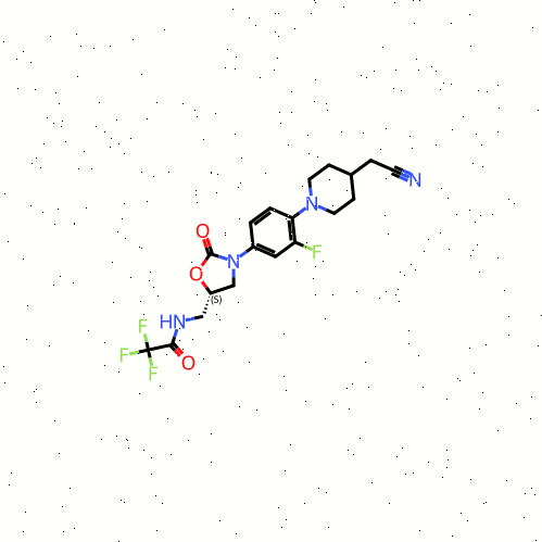 N#CCC1CCN(c2ccc(N3C[C@H](CNC(=O)C(F)(F)F)OC3=O)cc2F)CC1